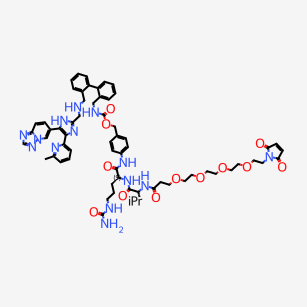 Cc1cccc(-c2nc(CNCc3ccccc3-c3ccccc3CNC(=O)OCc3ccc(NC(=O)[C@H](CCCNC(N)=O)NC(=O)C(NC(=O)CCOCCOCCOCCOCCN4C(=O)C=CC4=O)C(C)C)cc3)[nH]c2-c2ccc3ncnn3c2)n1